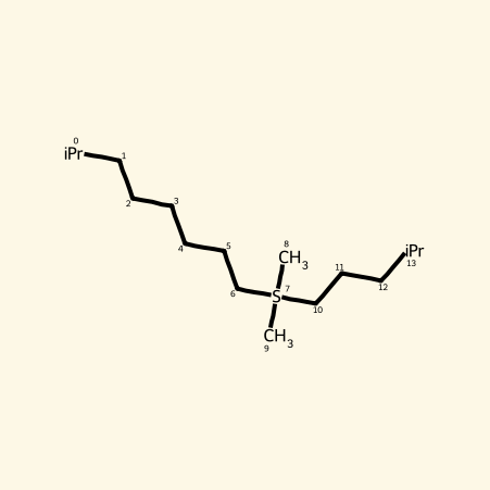 CC(C)CCCCCCS(C)(C)CCCC(C)C